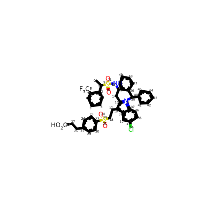 CC(c1ccccc1C(F)(F)F)S(=O)(=O)NCCc1c(CCS(=O)(=O)c2ccc(CCC(=O)O)cc2)c2cc(Cl)ccc2n1C(c1ccccc1)c1ccccc1